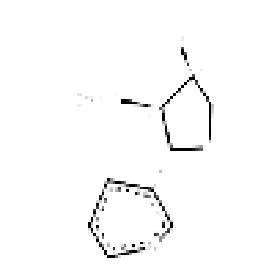 CCOC(=O)[C@@H]1[C@@H](c2cccnc2)OC[C@@H]1O